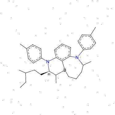 CCC(C)CC[C@@H]1C(C)B2CCCC(C)N(c3ccc(C)cc3)c3cccc(c32)N1c1ccc(C)cc1